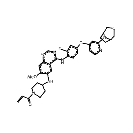 C=CC(=O)N1CCC(Nc2cc3c(Nc4ccc(Oc5ccnc(N6C7CCC6COC7)c5)cc4F)ncnc3cc2OC)CC1